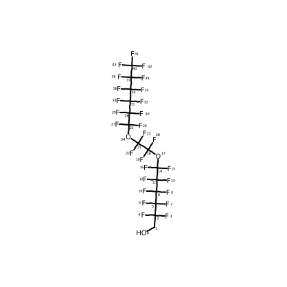 OCC(F)(F)C(F)(F)C(F)(F)C(F)(F)C(F)(F)OC(F)(F)C(F)(F)OC(F)(F)C(F)(F)C(F)(F)C(F)(F)C(F)(F)C(F)(F)F